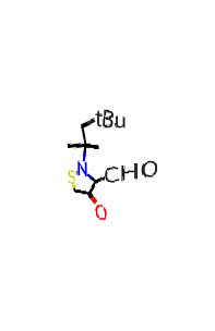 CC(C)(C)CC(C)(C)N1SCC(=O)C1C=O